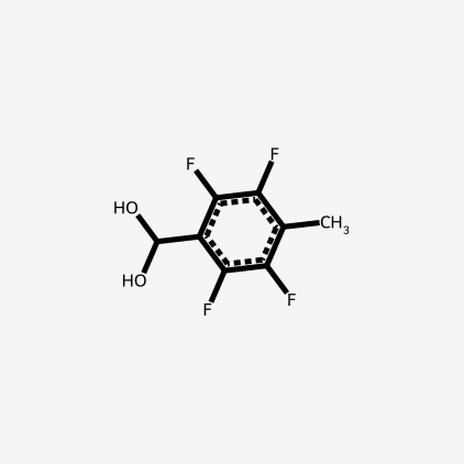 Cc1c(F)c(F)c(C(O)O)c(F)c1F